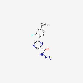 COc1ccc(-c2cncc(C(=O)NN)n2)c(F)c1